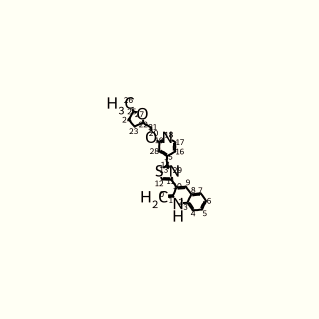 C=C1Nc2ccccc2C=C1c1csc(-c2ccnc(OCC3CCC(C)O3)c2)n1